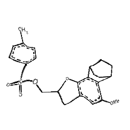 COc1cc2c(c3c1C1CCC3CC1)OC(COS(=O)(=O)c1ccc(C)cc1)C2